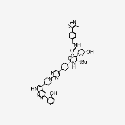 Cc1ncsc1-c1ccc(CNC(=O)[C@@H]2C[C@@H](O)CN2C(=O)[C@@H](NC(=O)[C@H]2CC[C@H](c3cnc(N4CCC(c5c[nH]c6nnc(-c7ccccc7O)cc56)CC4)nc3)CC2)C(C)(C)C)cc1